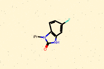 CC(C)n1c(=O)[nH]c2cc(F)ccc21